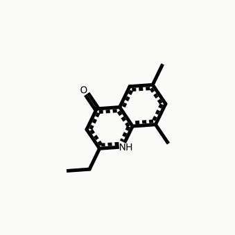 CCc1cc(=O)c2cc(C)cc(C)c2[nH]1